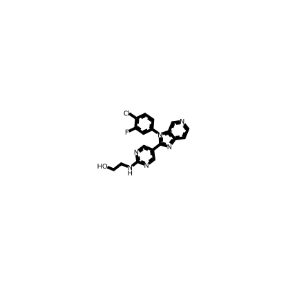 OCCNc1ncc(-c2nc3ccncc3n2-c2ccc(Cl)c(F)c2)cn1